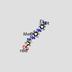 CCCCOC(=O)c1cc2sc(N=Nc3ccc(N=Nc4ccc(N(CC)CC)cc4)cc3OC)nc2s1